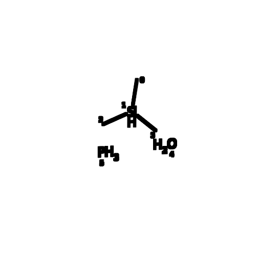 C[SiH](C)C.O.P